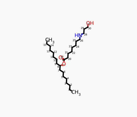 CCCCCCCCC(CCCCCCCC)OC(=O)CCCCCCCNCCCO